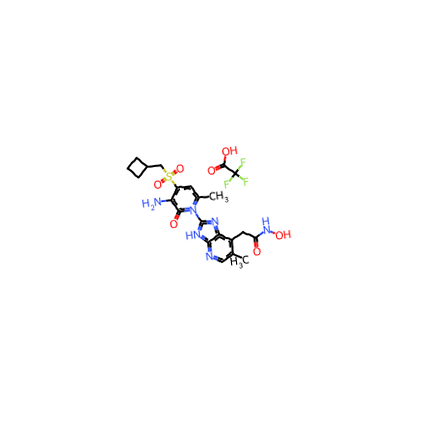 Cc1cnc2[nH]c(-n3c(C)cc(S(=O)(=O)CC4CCC4)c(N)c3=O)nc2c1CC(=O)NO.O=C(O)C(F)(F)F